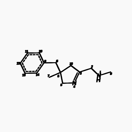 CNCC1=NCC(C)(Cc2ccccc2)C1